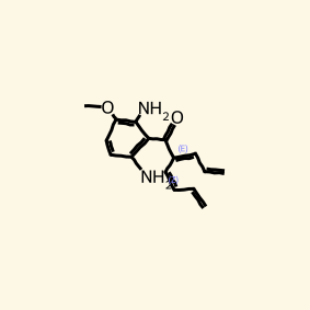 C=C/C=C\C(=C/C=C)C(=O)c1c(N)ccc(OC)c1N